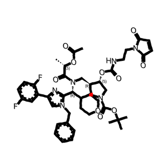 CC(=O)O[C@@H](C)C(=O)N(C[C@@H]1CN(C(=O)OC(C)(C)C)C[C@H]1OC(=O)NCCN1C(=O)C=CC1=O)[C@@H](c1nc(-c2cc(F)ccc2F)cn1Cc1ccccc1)C1CCOCC1